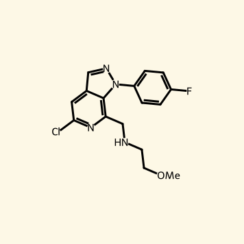 COCCNCc1nc(Cl)cc2cnn(-c3ccc(F)cc3)c12